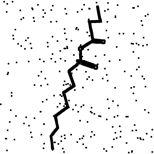 CCCCCCC[CH2][Sn](=[O])[O]C(=O)CCC